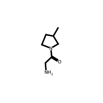 CC1CCN(C(=O)CN)C1